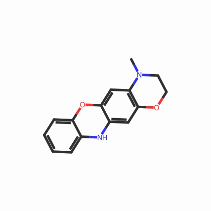 CN1CCOc2cc3c(cc21)Oc1ccccc1N3